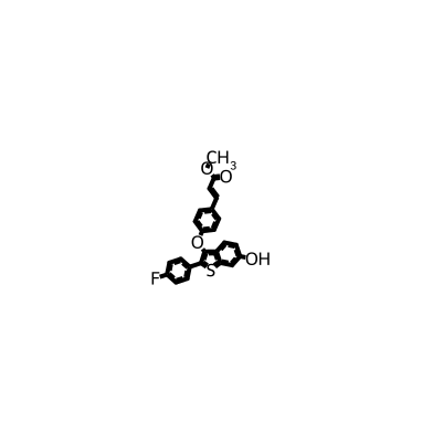 COC(=O)C=Cc1ccc(Oc2c(-c3ccc(F)cc3)sc3cc(O)ccc23)cc1